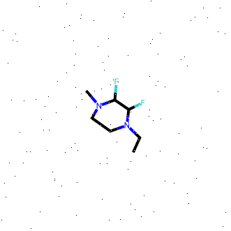 CCN1CCN(C)C(F)C1F